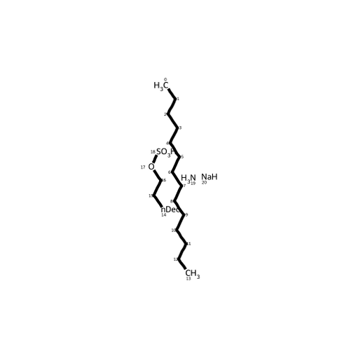 CCCCCCCCCCCCCC.CCCCCCCCCCCCOS(=O)(=O)O.N.[NaH]